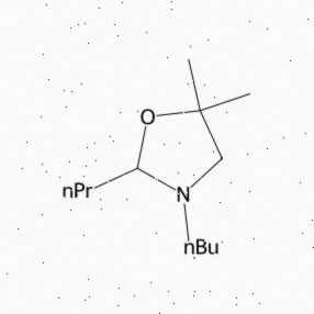 CCCCN1CC(C)(C)OC1CCC